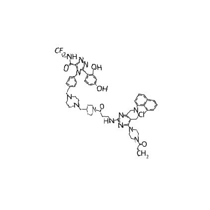 C=CC(=O)N1CCN(c2nc(NCCC(=O)N3CCC(CN4CCN(Cc5ccc(-n6c(C(=O)NCC(F)(F)F)nnc6-c6ccc(O)cc6O)cc5)CC4)CC3)nc3c2CCN(c2cccc4cccc(Cl)c24)C3)CC1